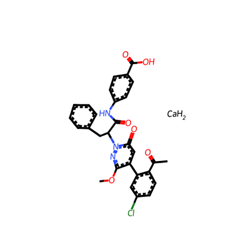 COc1nn(C(Cc2ccccc2)C(=O)Nc2ccc(C(=O)O)cc2)c(=O)cc1-c1cc(Cl)ccc1C(C)=O.[CaH2]